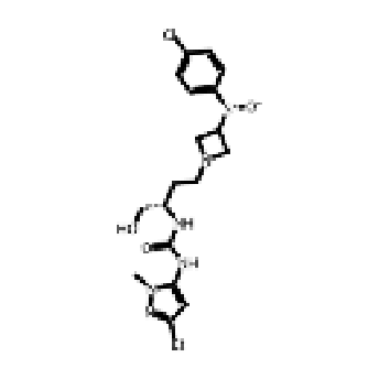 CCc1cc(NC(=O)N[C@H](CO)CCN2CC([S+]([O-])c3ccc(Cl)cc3)C2)n(C)n1